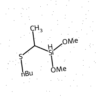 CCCCSC(C)[SiH](OC)OC